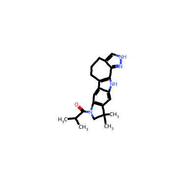 CC(C)C(=O)N1CC(C)(C)c2cc3[nH]c4c(c3cc21)CCCc1c[nH]nc1-4